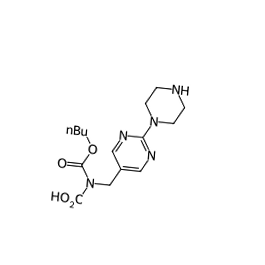 CCCCOC(=O)N(Cc1cnc(N2CCNCC2)nc1)C(=O)O